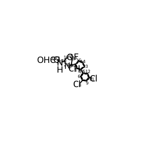 CC1(c2cc(-c3cc(Cl)cc(Cl)c3)ccc2F)COCC(NOC=O)=N1